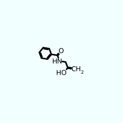 C=C(O)CNC(=O)c1ccccc1